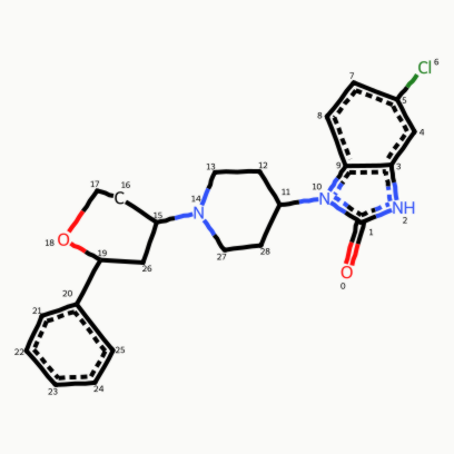 O=c1[nH]c2cc(Cl)ccc2n1C1CCN(C2CCOC(c3ccccc3)C2)CC1